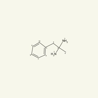 CC(N)(N)Cc1ccccc1